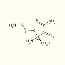 NCCC[C@](N)(C(=O)O)C(=O)C(N)=O